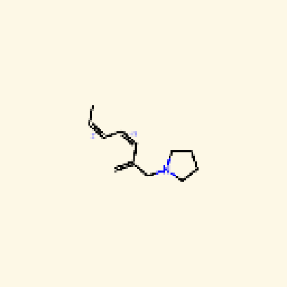 C=C(/C=C\C=C/C)CN1CCCC1